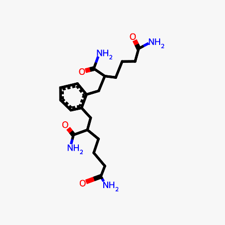 NC(=O)CCCC(Cc1ccccc1CC(CCCC(N)=O)C(N)=O)C(N)=O